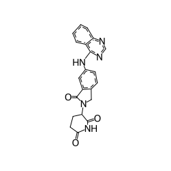 O=C1CCC(N2Cc3ccc(Nc4ncnc5ccccc45)cc3C2=O)C(=O)N1